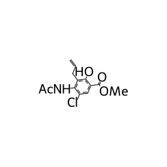 C=CCc1c(O)c(C(=O)OC)cc(Cl)c1NC(C)=O